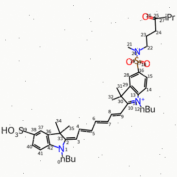 CCCCN1/C(=C/C=C/C=C/C=C/C2=[N+](CCCC)c3ccc(S(=O)(=O)N(C)CCCC(=O)C(C)C)cc3C2(C)C)C(C)(C)c2cc(S(=O)(=O)O)ccc21